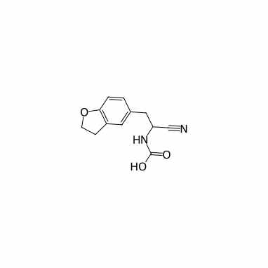 N#CC(Cc1ccc2c(c1)CCO2)NC(=O)O